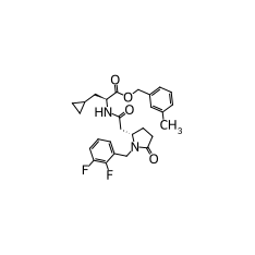 Cc1cccc(COC(=O)[C@H](CC2CC2)NC(=O)C[C@@H]2CCC(=O)N2Cc2cccc(F)c2F)c1